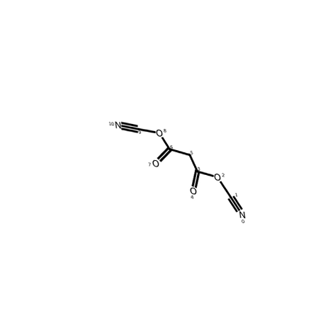 N#COC(=O)CC(=O)OC#N